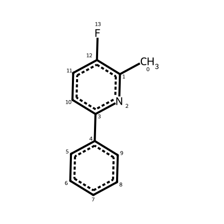 Cc1nc(-c2ccccc2)ccc1F